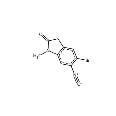 [C-]#[N+]c1cc2c(cc1Br)CC(=O)N2C